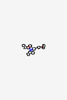 CC1(C)c2ccccc2-c2ccc(N(c3ccc(-c4ccc(C56CC7CC(CC(C7)C5)C6)cc4)cc3-c3ccccc3)c3cc4ccccc4c4ccccc34)cc21